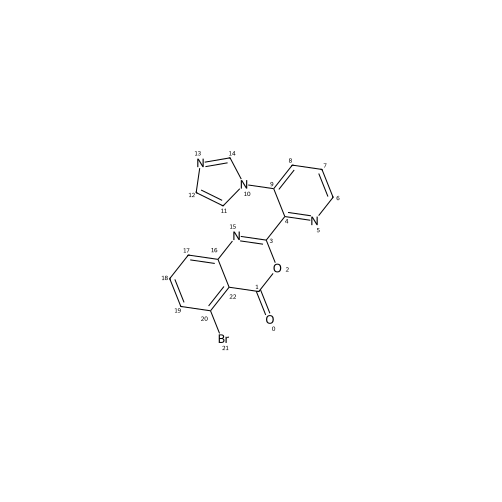 O=c1oc(-c2ncccc2-n2ccnc2)nc2cccc(Br)c12